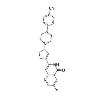 N#Cc1ccc(N2CCN([C@@H]3C=C(c4cc5ncc(F)cc5c(=O)[nH]4)CC3)CC2)cc1